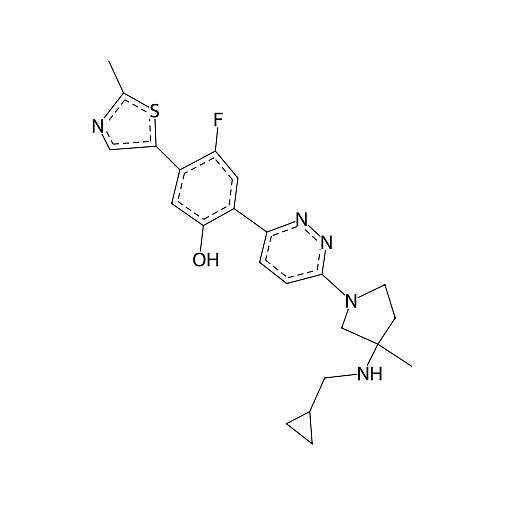 Cc1ncc(-c2cc(O)c(-c3ccc(N4CCC(C)(NCC5CC5)C4)nn3)cc2F)s1